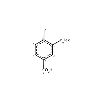 CCCCCCc1cc(C(=O)O)ccc1C